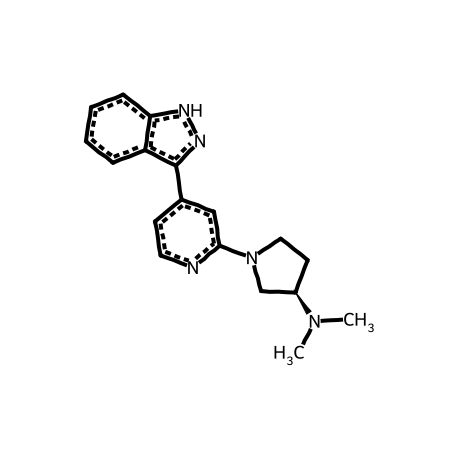 CN(C)[C@@H]1CCN(c2cc(-c3n[nH]c4ccccc34)ccn2)C1